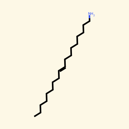 CCCCCCCC/C=C/CCCCCCCCN